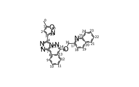 Cc1cc(-c2nnc3c4ccccc4c(OCc4ccc5ccccc5n4)nn23)no1